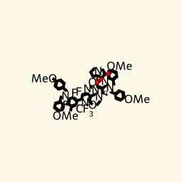 COc1ccc(CN(Cc2ccc(OC)cc2)c2ncccc2[C@@H](C)N2CCOc3nc(-c4c(F)c(N(Cc5ccc(OC)cc5)Cc5ccc(OC)cc5)c(F)c(C)c4C(F)(F)F)c(F)c4nc(OC[C@@]56CCCN5C[C@H](F)C6)nc2c34)cc1